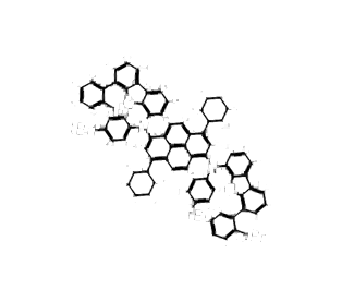 CC(C)c1ccccc1-c1cccc2c1oc1c(N(c3ccc(C(C)(C)C)cc3)c3cc(C4CCCCC4)c4ccc5c(N(c6ccc(C(C)(C)C)cc6)c6cccc7c6oc6c(-c8ccccc8C(C)C)cccc67)cc(C6CCCCC6)c6ccc3c4c65)cccc12